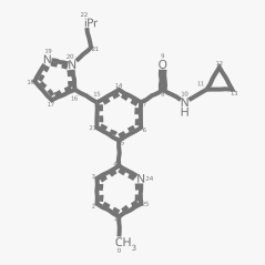 Cc1ccc(-c2cc(C(=O)NC3CC3)cc(-c3ccnn3CC(C)C)c2)nc1